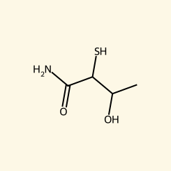 CC(O)C(S)C(N)=O